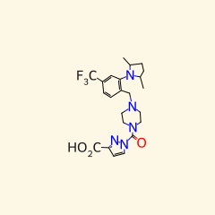 CC1CCC(C)N1c1cc(C(F)(F)F)ccc1CN1CCN(C(=O)n2ccc(C(=O)O)n2)CC1